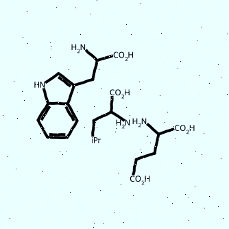 CC(C)CC(N)C(=O)O.NC(CCC(=O)O)C(=O)O.NC(Cc1c[nH]c2ccccc12)C(=O)O